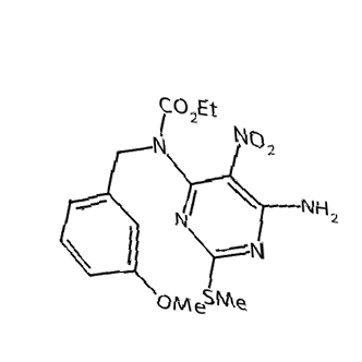 CCOC(=O)N(Cc1cccc(OC)c1)c1nc(SC)nc(N)c1[N+](=O)[O-]